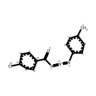 Cc1ccc(N=[N+]=NC(=O)c2ccc(Cl)cc2)cc1